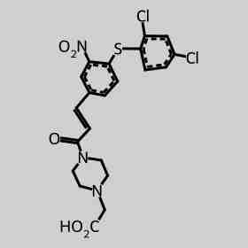 O=C(O)CN1CCN(C(=O)C=Cc2ccc(Sc3ccc(Cl)cc3Cl)c([N+](=O)[O-])c2)CC1